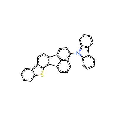 c1ccc2c(c1)sc1c3c(ccc12)-c1ccc(-n2c4ccccc4c4ccccc42)c2cccc-3c12